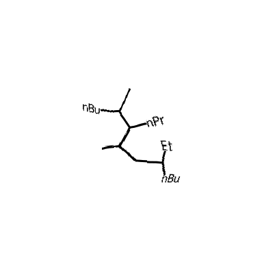 CCCCC(CC)CC(C)C(CCC)C(C)CCCC